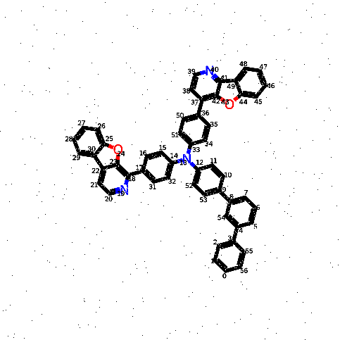 c1ccc(-c2cccc(-c3ccc(N(c4ccc(-c5nccc6c5oc5ccccc56)cc4)c4ccc(-c5ccnc6c5oc5ccccc56)cc4)cc3)c2)cc1